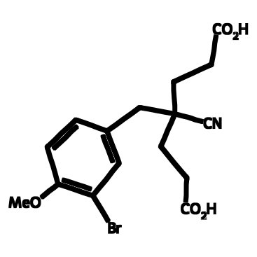 COc1ccc(CC(C#N)(CCC(=O)O)CCC(=O)O)cc1Br